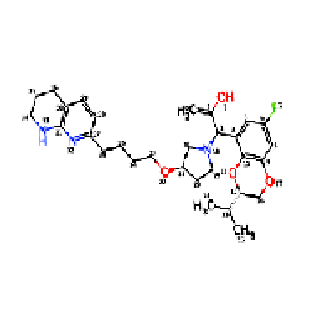 C=C(O)[C@@H](c1cc(F)cc2c1O[C@@H](C(C)C)CO2)N1CC[C@@H](OCCCCc2ccc3c(n2)NCCC3)C1